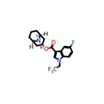 CN1[C@@H]2CCC[C@H]1C[C@@H](OC(=O)c1cn(CC(F)(F)F)c3ccc(F)cc13)C2